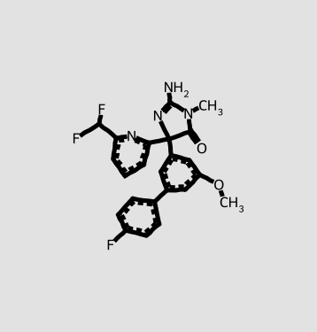 COc1cc(-c2ccc(F)cc2)cc(C2(c3cccc(C(F)F)n3)N=C(N)N(C)C2=O)c1